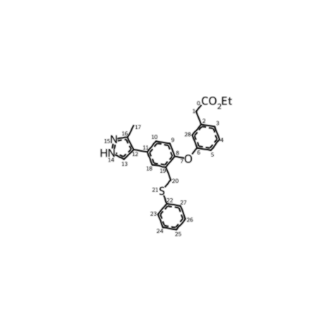 CCOC(=O)Cc1cccc(Oc2ccc(-c3c[nH]nc3C)cc2CSc2ccccc2)c1